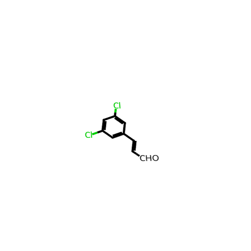 O=CC=Cc1cc(Cl)cc(Cl)c1